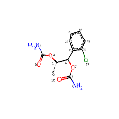 C[C@H](OC(N)=O)[C@H](OC(N)=O)c1ccccc1Cl